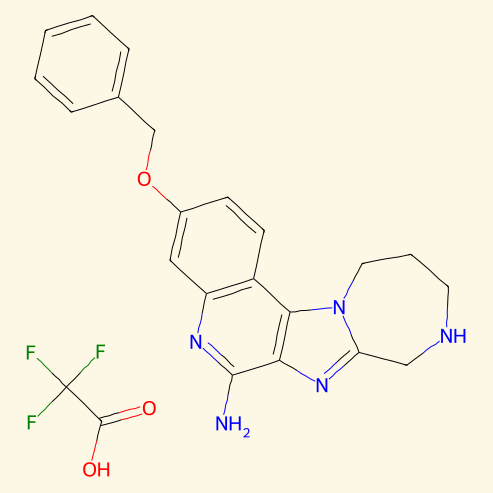 Nc1nc2cc(OCc3ccccc3)ccc2c2c1nc1n2CCCNC1.O=C(O)C(F)(F)F